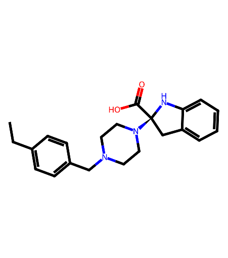 CCc1ccc(CN2CCN([C@]3(C(=O)O)Cc4ccccc4N3)CC2)cc1